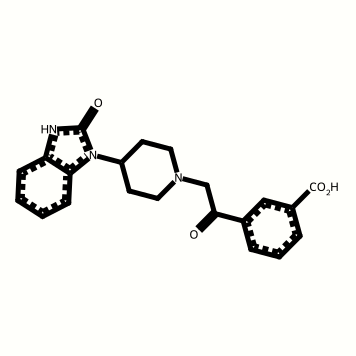 O=C(O)c1cccc(C(=O)CN2CCC(n3c(=O)[nH]c4ccccc43)CC2)c1